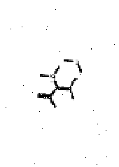 C=C(C)C(=C(C)C)[SiH](C)C.[CH3][Ti][CH3]